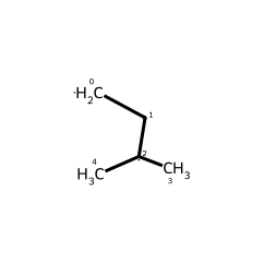 [CH2]C[C](C)C